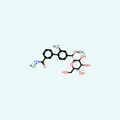 CNC(=O)c1cccc(-c2ccc(C(OC)[C@H]3OC(CO)[C@@H](O)C(O)C3O)cc2C)c1